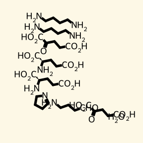 C1=NCCC1.NCCCC=O.NCCCCN.NCCCCN.N[C@@H](CCC(=O)O)C(=O)O.N[C@@H](CCC(=O)O)C(=O)O.O.O=C(O)CCC(=O)C(=O)O.O=C(O)CCC(=O)C(=O)O